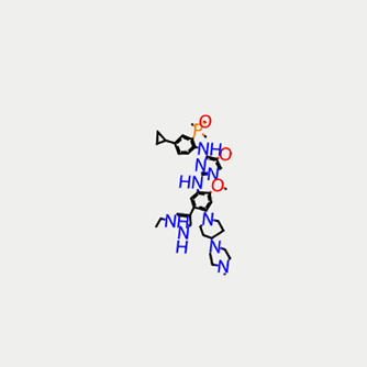 CCN/C=C(\C=N)c1cc(Nc2ncc(OC)c(Nc3ccc(C4CC4)cc3P(C)(C)=O)n2)c(OC)cc1N1CCC(N2CCN(C)CC2)CC1